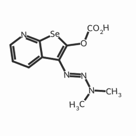 CN(C)N=Nc1c(OC(=O)O)[se]c2ncccc12